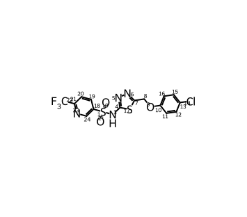 O=S(=O)(Nc1nnc(COc2ccc(Cl)cc2)s1)c1ccc(C(F)(F)F)nc1